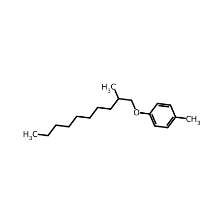 CCCCCCCCC(C)COc1ccc(C)cc1